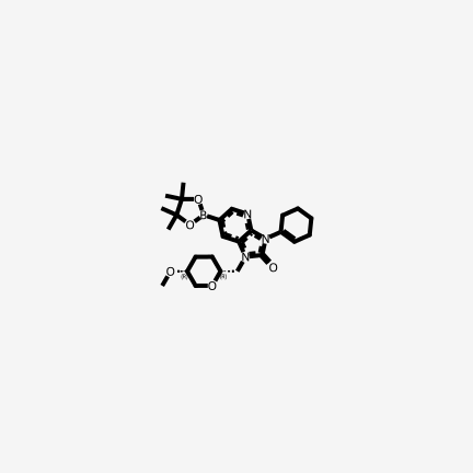 CO[C@@H]1CC[C@H](Cn2c(=O)n(C3=CCCCC3)c3ncc(B4OC(C)(C)C(C)(C)O4)cc32)OC1